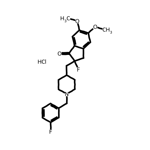 COc1cc2c(cc1OC)C(=O)C(F)(CC1CCN(Cc3cccc(F)c3)CC1)C2.Cl